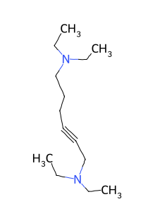 CCN(CC)CC#CCCCN(CC)CC